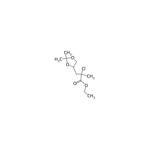 CCOC(=O)C(C)(Cl)CC1COC(C)(C)O1